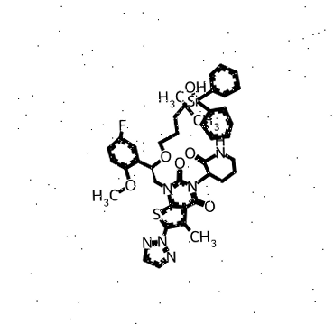 COc1ccc(F)cc1[C@H](Cn1c(=O)n(C2CCCNC2=O)c(=O)c2c(C)c(-n3nccn3)sc21)OCCCC(C)(C)[Si](O)(c1ccccc1)c1ccccc1